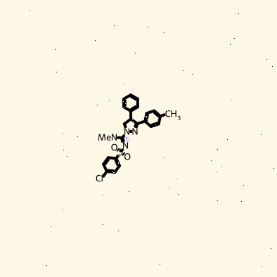 CN/C(=N\S(=O)(=O)c1ccc(Cl)cc1)N1CC(c2ccccc2)C(c2ccc(C)cc2)=N1